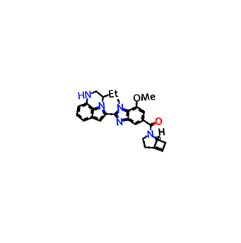 CCC1CNc2cccc3cc(-c4nc5cc(C(=O)N6CCC7=CC[C@H]76)cc(OC)c5n4C)n1c23